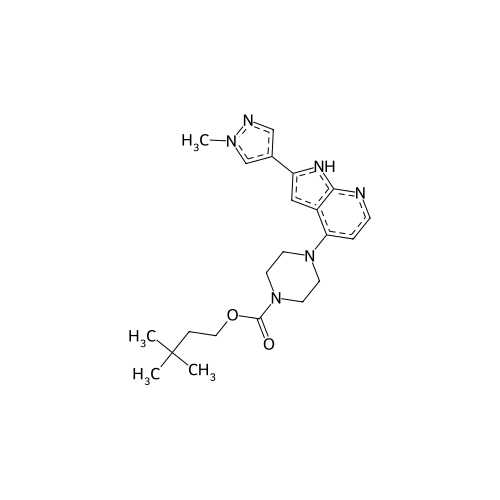 Cn1cc(-c2cc3c(N4CCN(C(=O)OCCC(C)(C)C)CC4)ccnc3[nH]2)cn1